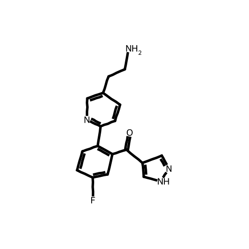 NCCc1ccc(-c2ccc(F)cc2C(=O)c2cn[nH]c2)nc1